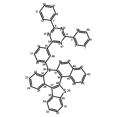 c1ccc(-c2nc(-c3ccccc3)nc(-c3cccc(N4c5ccccc5-c5c(sc6ccccc56)-c5c4ccc4ccccc54)c3)n2)cc1